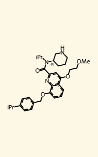 COCCOc1cc(C(=O)N(C(C)C)[C@@H]2CCCNC2)nc2c(OCc3ccc(C(C)C)cc3)cccc12